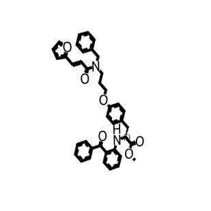 COC(=O)[C@H](Cc1ccc(OCCCN(Cc2ccccc2)C(=O)C=Cc2ccco2)cc1)Nc1ccccc1C(=O)c1ccccc1